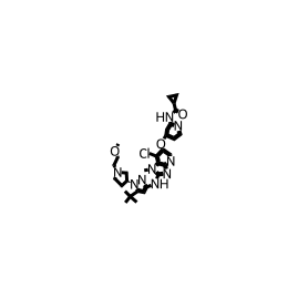 COCCN1CC[C@@H](n2nc(Nc3nc4ncc(Oc5ccnc(NC(=O)C6CC6)c5)c(Cl)c4n3C)cc2C(C)(C)C)C1